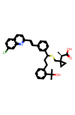 C[C@@H](C(=O)O)C1(CSC(CCc2ccccc2C(C)(C)O)c2cccc(C=Cc3ccc4ccc(Cl)cc4n3)c2)CC1